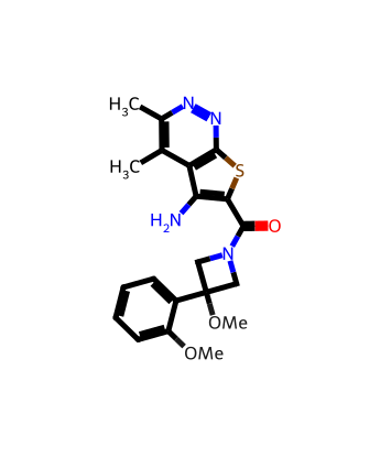 COc1ccccc1C1(OC)CN(C(=O)c2sc3nnc(C)c(C)c3c2N)C1